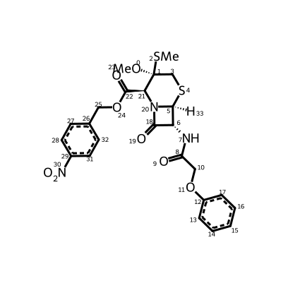 CO[C@]1(SC)CS[C@H]2[C@H](NC(=O)COc3ccccc3)C(=O)N2[C@H]1C(=O)OCc1ccc([N+](=O)[O-])cc1